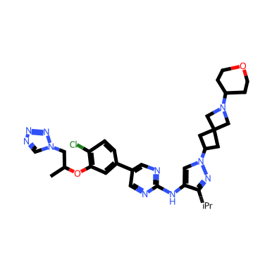 CC(Cn1cnnn1)Oc1cc(-c2cnc(Nc3cn(C4CC5(C4)CN(C4CCOCC4)C5)nc3C(C)C)nc2)ccc1Cl